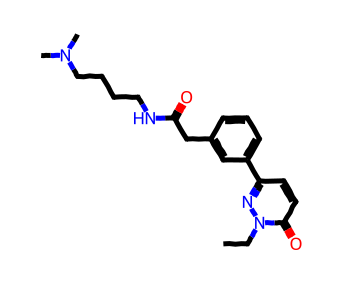 CCn1nc(-c2cccc(CC(=O)NCCCCN(C)C)c2)ccc1=O